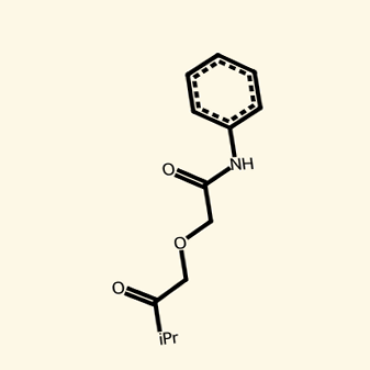 CC(C)C(=O)COCC(=O)Nc1ccccc1